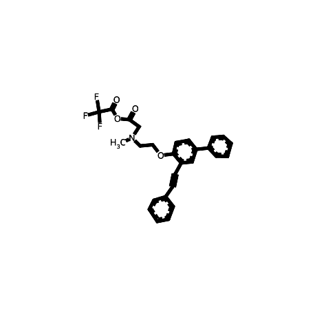 CN(CCOc1ccc(-c2ccccc2)cc1C#Cc1ccccc1)CC(=O)OC(=O)C(F)(F)F